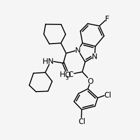 CC(Oc1ccc(Cl)cc1Cl)c1nc2cc(F)ccc2n1C(C(=O)NC1CCCCC1)C1CCCCC1